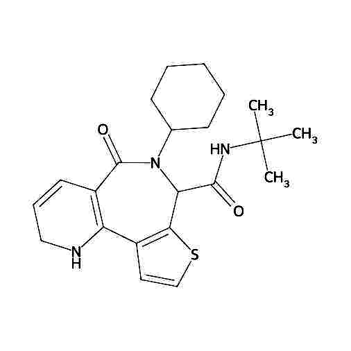 CC(C)(C)NC(=O)C1c2sccc2C2=C(C=CCN2)C(=O)N1C1CCCCC1